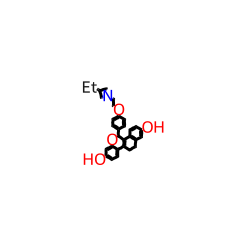 CCC1CN(CCOc2ccc(C(=O)C3=C(c4ccc(O)cc4)CCc4cc(O)ccc43)cc2)C1